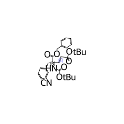 CC(C)(C)OC(=O)/C=C/[C@@](Cc1cccc(C#N)c1)(NC(=O)OC(C)(C)C)C(=O)OCc1ccccc1